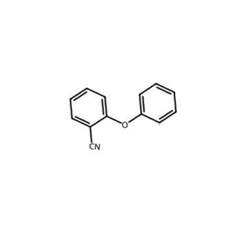 N#Cc1ccccc1Oc1[c]cccc1